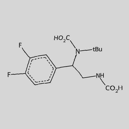 CC(C)(C)N(C(=O)O)C(CNC(=O)O)c1ccc(F)c(F)c1